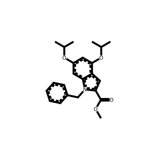 COC(=O)c1cc2c(OC(C)C)cc(OC(C)C)cc2n1Cc1ccccc1